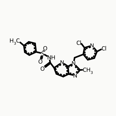 Cc1ccc(S(=O)(=O)NC(=O)c2ccc3nc(C)n(Cc4ccc(Cl)nc4Cl)c3n2)cc1